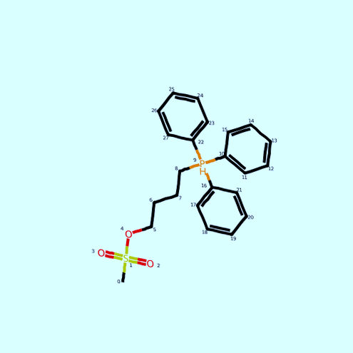 CS(=O)(=O)OCCCC[PH](c1ccccc1)(c1ccccc1)c1ccccc1